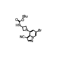 CC(C)(C)OC(=O)NC1CN(c2cc(Br)cn3ncc(C#N)c23)C1